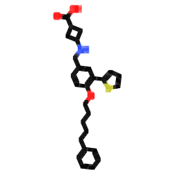 O=C(O)C1CC(NCc2ccc(OCCCCCc3ccccc3)c(-c3cccs3)c2)C1